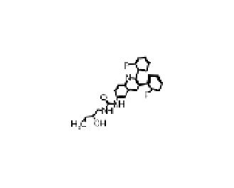 CC[C@@H](O)CNC(=O)Nc1ccc2nc(-c3ccccc3F)c(-c3ccccc3F)cc2c1